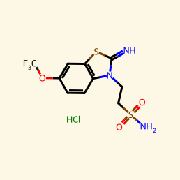 Cl.N=c1sc2cc(OC(F)(F)F)ccc2n1CCS(N)(=O)=O